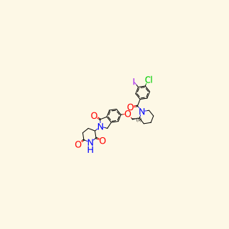 O=C1CCC(N2Cc3cc(OC[C@@H]4CCCCN4C(=O)c4ccc(Cl)c(I)c4)ccc3C2=O)C(=O)N1